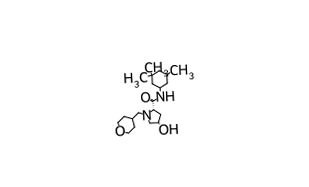 CC1CC(NC(=O)[C@@H]2C[C@H](O)CN2CC2CCOCC2)CC(C)(C)C1